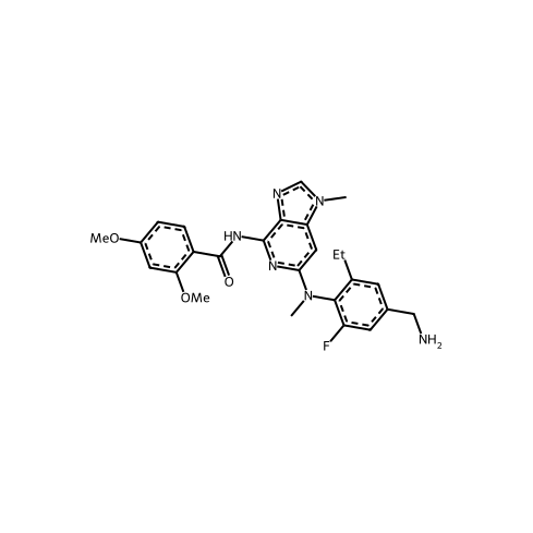 CCc1cc(CN)cc(F)c1N(C)c1cc2c(ncn2C)c(NC(=O)c2ccc(OC)cc2OC)n1